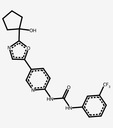 O=C(Nc1cccc(C(F)(F)F)c1)Nc1ccc(-c2cnc(C3(O)CCCC3)o2)cn1